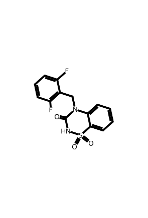 O=C1NS(=O)(=O)c2ccccc2N1Cc1c(F)cccc1F